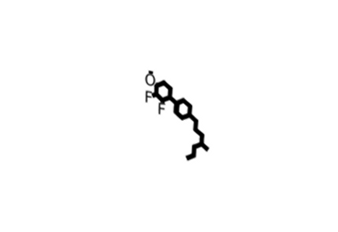 CCCC(C)CCCC1CC=C(C2CCC(OC)C(F)C2F)CC1